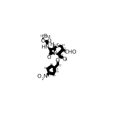 CC(C)(C)OC(=O)NC1C(=O)N2C(C(=O)OCc3ccc([N+](=O)[O-])cc3)=C(C=O)CS[C@@H]12